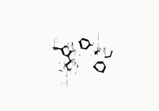 Cc1ccc(NC(=O)N2OCC[C@@H]2c2ccccc2)cc1Nc1ncc(C(F)(F)F)cc1-c1ncnc2[nH]cnc12